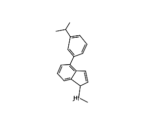 CC(C)c1cccc(-c2cccc3c2C=C[CH]3[Hf]([CH3])[CH3])c1